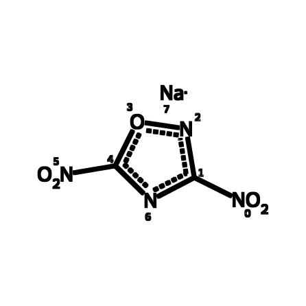 O=[N+]([O-])c1noc([N+](=O)[O-])n1.[Na]